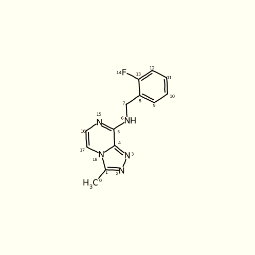 Cc1nnc2c(NCc3ccccc3F)nccn12